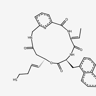 C/C=C1\NC(=O)c2cccc(n2)CNC(=O)C[C@@H](/C=C/CCS)OC(=O)[C@H](Cc2cccc3ccccc23)NC1=O